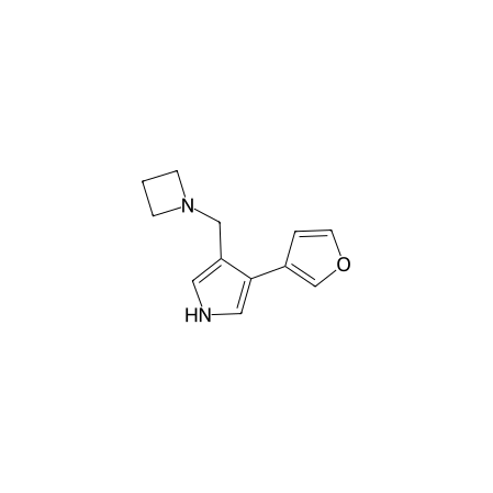 c1cc(-c2c[nH]cc2CN2CCC2)co1